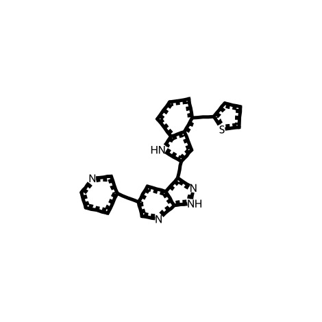 c1cncc(-c2cnc3[nH]nc(-c4cc5c(-c6cccs6)cccc5[nH]4)c3c2)c1